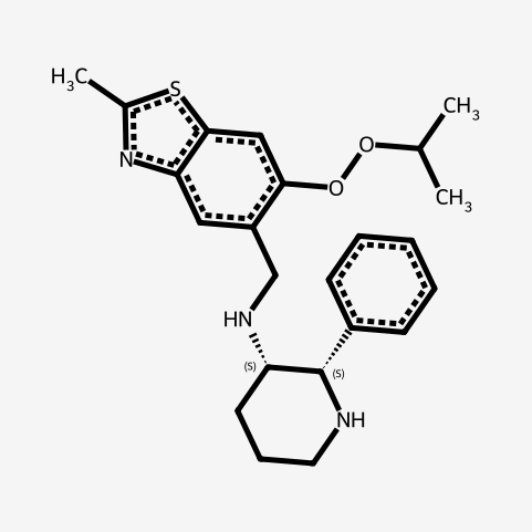 Cc1nc2cc(CN[C@H]3CCCN[C@H]3c3ccccc3)c(OOC(C)C)cc2s1